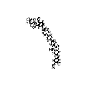 N#Cc1ccc(O[C@H]2CC[C@H](NC(=O)c3cnc(N4CCC(N5CCC6(CC5)CN(c5ccc7c(c5)C(=O)N(C5CCC(=O)NC5=O)C7=O)C6)CC4)cn3)CC2)cc1Cl